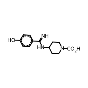 N=C(NC1CCN(C(=O)O)CC1)c1ccc(O)cc1